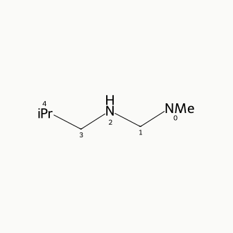 CNCNCC(C)C